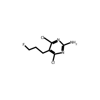 Nc1nc(Cl)c(CCCF)c(Cl)n1